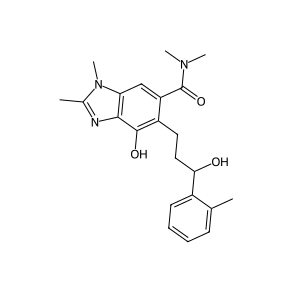 Cc1ccccc1C(O)CCc1c(C(=O)N(C)C)cc2c(nc(C)n2C)c1O